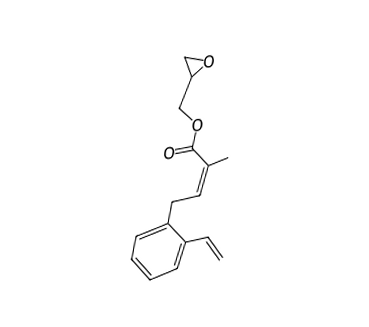 C=Cc1ccccc1CC=C(C)C(=O)OCC1CO1